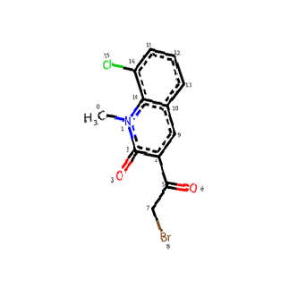 Cn1c(=O)c(C(=O)CBr)cc2cccc(Cl)c21